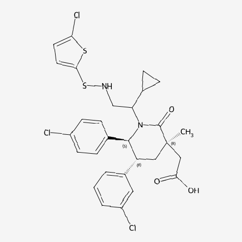 C[C@]1(CC(=O)O)C[C@H](c2cccc(Cl)c2)[C@@H](c2ccc(Cl)cc2)N(C(CNSc2ccc(Cl)s2)C2CC2)C1=O